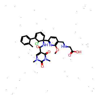 COc1nc(C2(NC(=O)c3cn(C)c(=O)n(C)c3=O)C=CC=C(c3ccccc3C)C2Cl)ccc1CNCC(=O)O